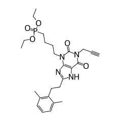 C#CCn1c(=O)c2[nH]c(CCc3c(C)cccc3C)nc2n(CCCCP(=O)(OCC)OCC)c1=O